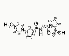 CN1CCN(c2cccc(C(=O)NCC(=O)N3CCC[C@H]3C(=O)O)c2)CC1